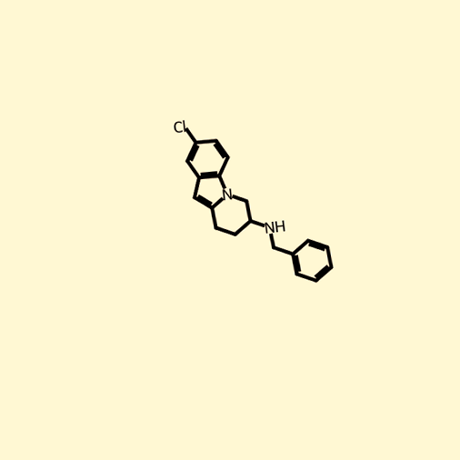 Clc1ccc2c(c1)cc1n2CC(NCc2ccccc2)CC1